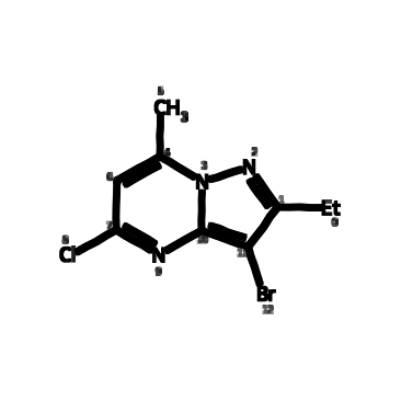 CCc1nn2c(C)cc(Cl)nc2c1Br